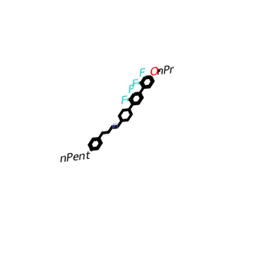 CCCCCc1ccc(CC/C=C/C2CCC(c3ccc(-c4ccc(OCCC)c(F)c4F)c(F)c3F)CC2)cc1